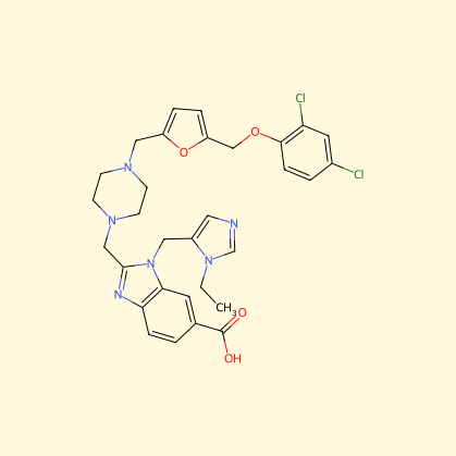 CCn1cncc1Cn1c(CN2CCN(Cc3ccc(COc4ccc(Cl)cc4Cl)o3)CC2)nc2ccc(C(=O)O)cc21